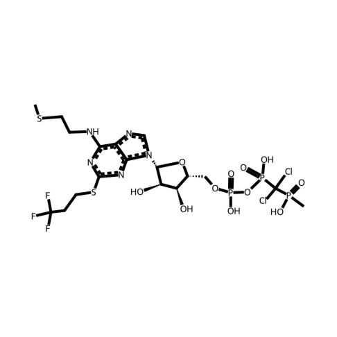 CSCCNc1nc(SCCC(F)(F)F)nc2c1ncn2[C@@H]1O[C@H](COP(=O)(O)OP(=O)(O)C(Cl)(Cl)P(C)(=O)O)[C@@H](O)[C@H]1O